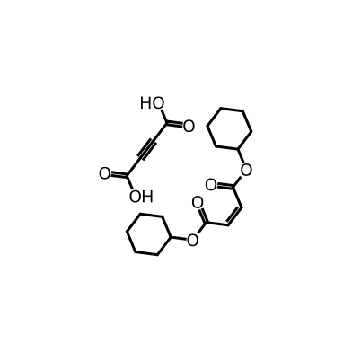 O=C(/C=C\C(=O)OC1CCCCC1)OC1CCCCC1.O=C(O)C#CC(=O)O